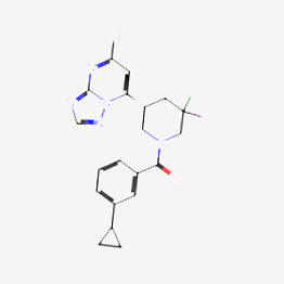 Cc1cc([C@@H]2CN(C(=O)c3cccc(C4CC4)c3)CC(F)(P)C2)n2ncnc2n1